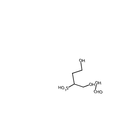 O=S(=O)(O)C(CO)CCO.O=[C]O